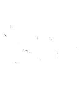 OC[C@@H]1C[C@@H](O)[C@H](n2cnc3c(N[C@@H]4CCOC4)ncnc32)O1